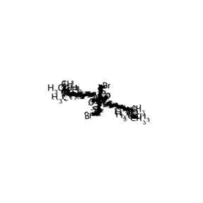 C[Si](C)(C)O[Si](C)(C)CCCCCCCCN1C(=O)C2=C(c3ccc(Br)s3)N(CCCCCCCC[Si](C)(C)O[Si](C)(C)C)C(=O)C2=C1c1ccc(Br)s1